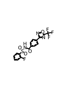 O=C(NS(=O)(=O)c1ccccc1F)c1ccc(-c2noc(C(F)(F)F)n2)cc1